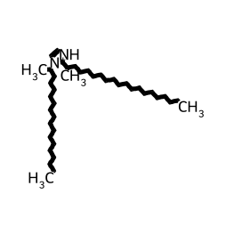 CCCCCCCCCCCCCCCCCCC(C)c1[nH]cc[n+]1C(C)CCCCCCCCCCCCCCCC